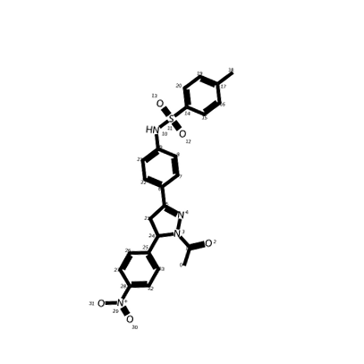 CC(=O)N1N=C(c2ccc(NS(=O)(=O)c3ccc(C)cc3)cc2)CC1c1ccc([N+](=O)[O-])cc1